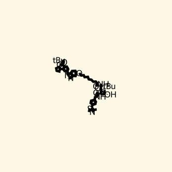 Cc1ncsc1-c1ccc(CNC(=O)[C@@H]2C[C@@H](O)CN2C(=O)[C@@H](NC(=O)CCCCCCCCOc2ccc3c(-c4ccc(C(=O)OC(C)(C)C)c(C5CCCC5)c4)ncnc3c2)C(C)(C)C)cc1